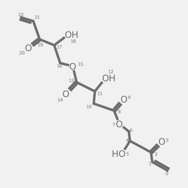 C=CC(=O)C(O)COC(=O)CC(O)C(=O)OCC(O)C(=O)C=C